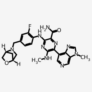 CNc1nc(Nc2ccc(CN3C[C@H]4C[C@@H]3CO4)cc2F)c(C(N)=O)nc1-c1cncc2c1ncn2C